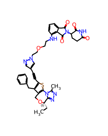 CC[C@@H]1OCc2c(sc(C#Cc3cnn(CCOCCNc4cccc5c4C(=O)N(C4CCC(=O)NC4=O)C5=O)c3)c2Cc2ccccc2)-n2c(C)nnc21